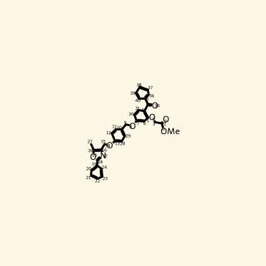 COC(=O)COc1cc(OCc2ccc(OCc3nc(-c4ccccc4)oc3C)cc2)ccc1C(=O)c1ccccc1